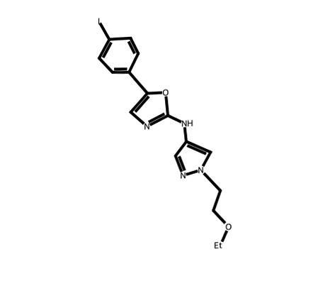 CCOCCn1cc(Nc2ncc(-c3ccc(I)cc3)o2)cn1